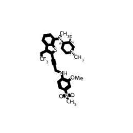 COc1cc(S(C)(=O)=O)ccc1NCC#Cc1sc2c(N(C)[C@@H]3CCN(C)C[C@@H]3F)cccc2c1CC(F)(F)F